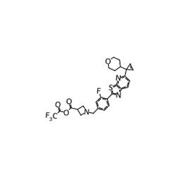 O=C(OC(=O)C(F)(F)F)C1CN(Cc2ccc(-c3nc4ccc(C5(C6CCOCC6)C=C5)nc4s3)c(F)c2)C1